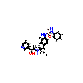 CC(C)(Cc1ccc(NS(=O)(=O)NC2CCCCC2)cc1)NC[C@H](O)c1cccnc1